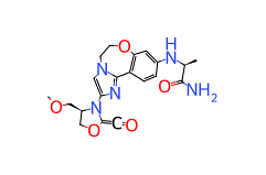 COC[C@@H]1COC(=C=O)N1c1cn2c(n1)-c1ccc(N[C@@H](C)C(N)=O)cc1OCC2